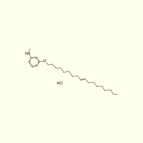 CCCCCCCC/C=C/CCCCCCCCOc1cccc(NC)c1.Cl